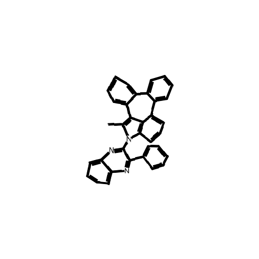 Cc1c2c3c(cccc3n1-c1nc3ccccc3nc1-c1ccccc1)-c1ccccc1-c1ccccc1-2